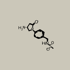 CS(=O)(=O)NCc1ccc(N2C[C@H](N)CC2=O)cc1